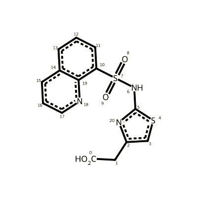 O=C(O)Cc1csc(NS(=O)(=O)c2cccc3cccnc23)n1